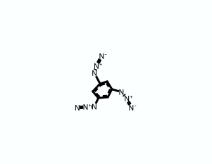 [N-]=[N+]=Nc1cc(N=[N+]=[N-])cc(N=[N+]=[N-])c1